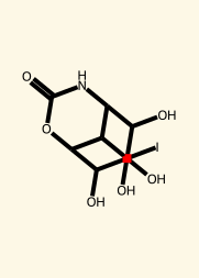 O=C1NC2C(O)C(O)C(O)C(O1)C2C(O)I